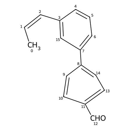 C/C=C\c1cccc(-c2ccc(C=O)cc2)c1